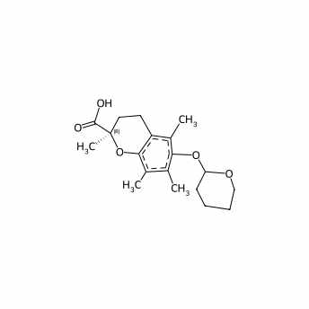 Cc1c(C)c2c(c(C)c1OC1CCCCO1)CC[C@](C)(C(=O)O)O2